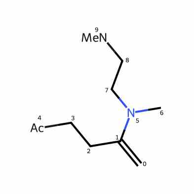 C=C(CCC(C)=O)N(C)CCNC